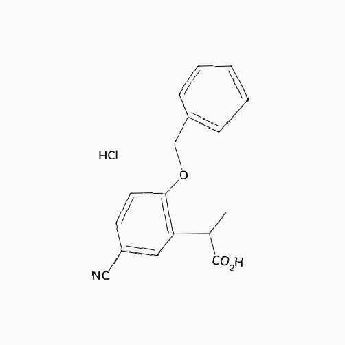 CC(C(=O)O)c1cc(C#N)ccc1OCc1ccccc1.Cl